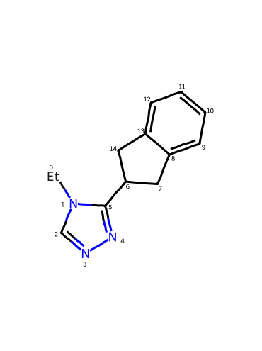 CCn1cnnc1C1Cc2ccccc2C1